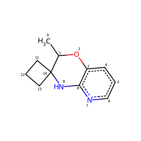 CC1Oc2cccnc2NC12CCC2